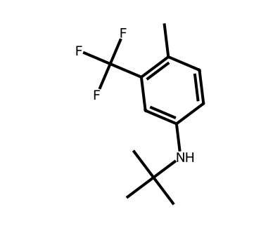 Cc1ccc(NC(C)(C)C)cc1C(F)(F)F